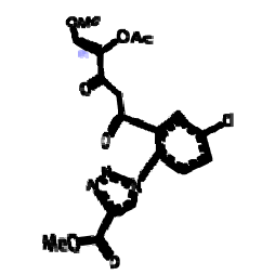 CO/C=C(\OC(C)=O)C(=O)CC(=O)c1cc(Cl)ccc1-n1cc(C(=O)OC)nn1